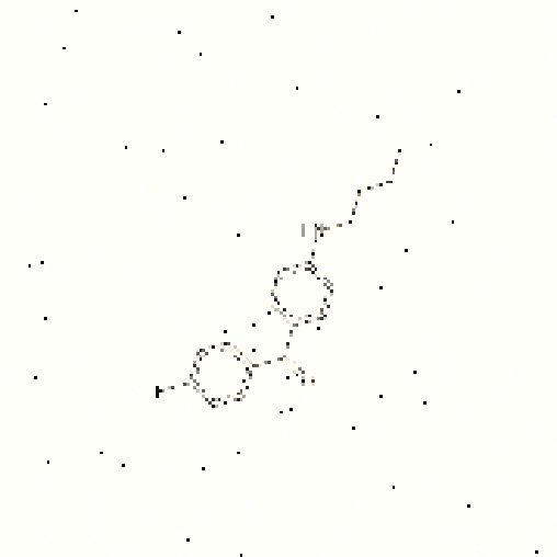 CCCCNc1ccc(C(=O)c2ccc(I)cc2)cc1